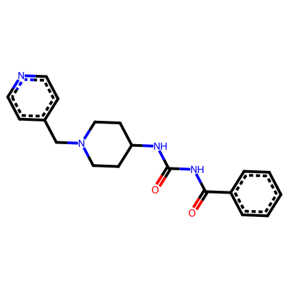 O=C(NC(=O)c1ccccc1)NC1CCN(Cc2ccncc2)CC1